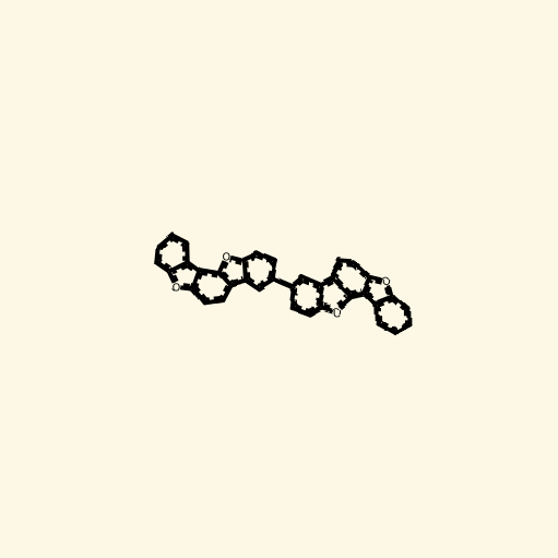 c1ccc2c(c1)oc1ccc3c4cc(-c5ccc6oc7c(ccc8oc9ccccc9c87)c6c5)ccc4oc3c12